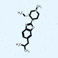 CC[C@@H]1CN(C)CC[C@H]1c1nc2ccc(CC(C)C)cc2o1